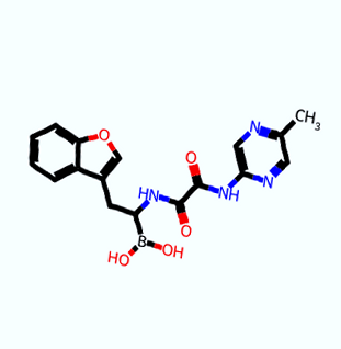 Cc1cnc(NC(=O)C(=O)NC(Cc2coc3ccccc23)B(O)O)cn1